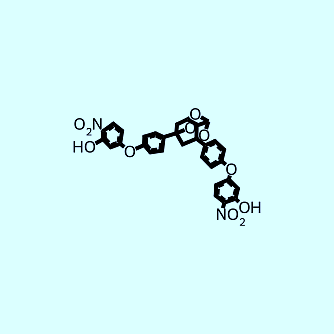 O=[N+]([O-])c1ccc(Oc2ccc(C34CC5CC(c6ccc(Oc7ccc([N+](=O)[O-])c(O)c7)cc6)(C3)OC(O5)O4)cc2)cc1O